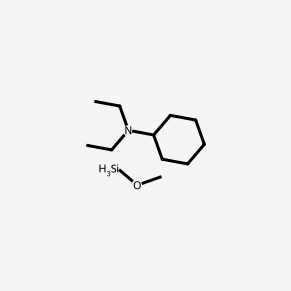 CCN(CC)C1CCCCC1.CO[SiH3]